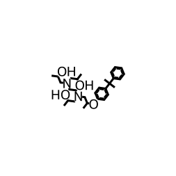 CC(O)CN(CCN(CC(C)O)CC(C)Oc1ccc(C(C)(C)c2ccccc2)cc1)CC(C)O